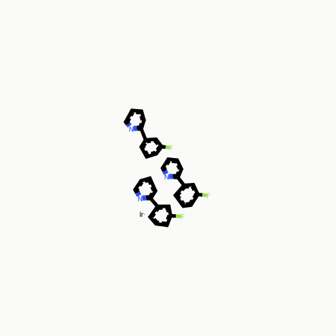 Fc1cccc(-c2ccccn2)c1.Fc1cccc(-c2ccccn2)c1.Fc1cccc(-c2ccccn2)c1.[Ir]